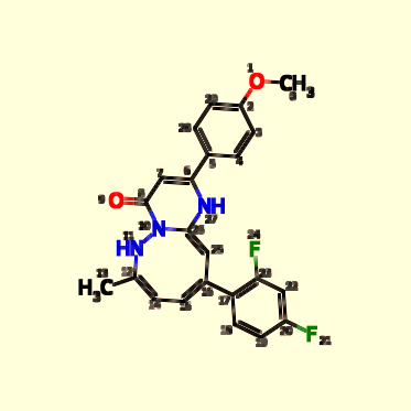 COc1ccc(-c2cc(=O)n3[nH]c(C)ccc(-c4ccc(F)cc4F)cc3[nH]2)cc1